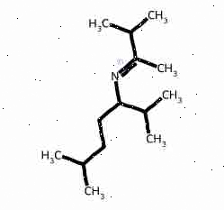 C/C(=N\C(CCC(C)C)C(C)C)C(C)C